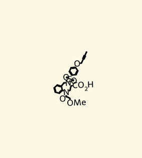 CC#CCOc1ccc(S(=O)(=O)N2Cc3ccccc3N(C(=O)COC)CC2C(=O)O)cc1